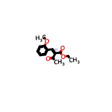 CCOC(=O)/C(=C/c1ccccc1OC)C(C)=O